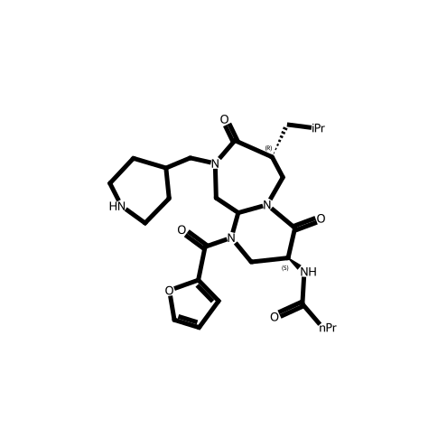 CCCC(=O)N[C@H]1CN(C(=O)c2ccco2)C2CN(CC3CCNCC3)C(=O)[C@H](CC(C)C)CN2C1=O